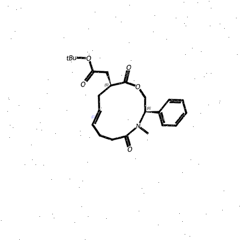 CN1C(=O)CC/C=C/C[C@@H](CC(=O)OC(C)(C)C)C(=O)OC[C@H]1c1ccccc1